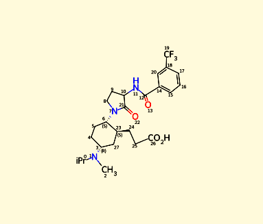 CC(C)N(C)[C@@H]1CC[C@H](N2CCC(NC(=O)c3cccc(C(F)(F)F)c3)C2=O)[C@@H](CCC(=O)O)C1